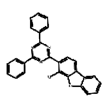 Clc1c(-c2nc(-c3ccccc3)nc(-c3ccccc3)n2)ccc2c1oc1ccccc12